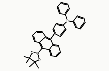 CC1(C)OB(c2c3ccccc3c(-c3ccc(P(c4ccccc4)c4ccccc4)cc3)c3ccccc23)OC1(C)C